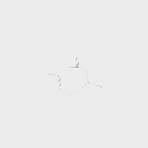 N/C1=N/C/N=C(/N)NC(=O)N1